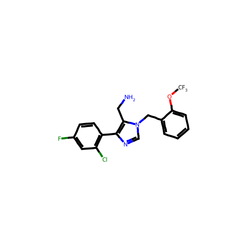 NCc1c(-c2ccc(F)cc2Cl)ncn1Cc1ccccc1OC(F)(F)F